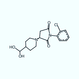 O=C1C[C@H](N2CCC(C(O)O)CC2)C(=O)N1c1ccccc1Cl